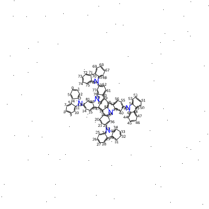 c1ccc2c(c1)c1ccccc1n2-c1ccc2c3c4c5ccc(-n6c7ccccc7c7ccccc76)cc5n5c6cc(-n7c8ccccc8c8ccccc87)ccc6c(c6c7ccc(-n8c9ccccc9c9ccccc98)cc7n(c2c1)c36)c45